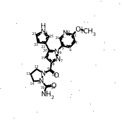 COc1ccc(-n2nc(C(=O)N3CCCN3C(N)=O)cc2-c2cc[nH]c2)cn1